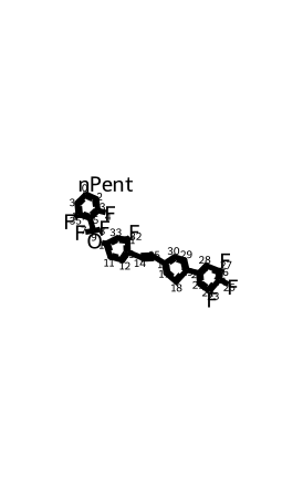 CCCCCc1cc(F)c(C(F)(F)Oc2ccc(C#Cc3ccc(-c4cc(F)c(F)c(F)c4)cc3)c(F)c2)c(F)c1